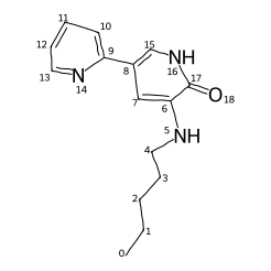 CCCCCNc1cc(-c2ccccn2)c[nH]c1=O